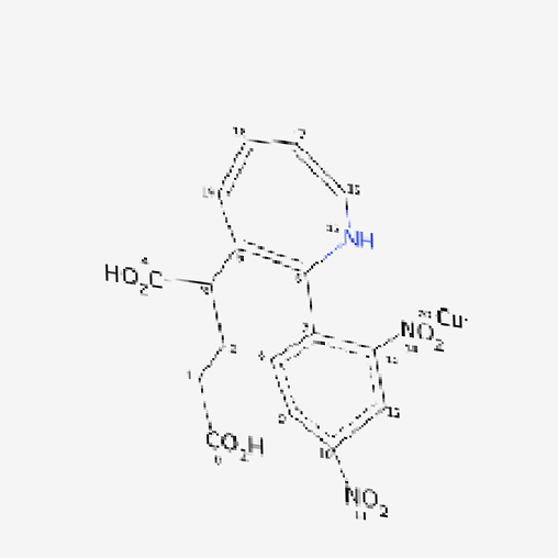 O=C(O)CCC(C(=O)O)C1=C(c2ccc([N+](=O)[O-])cc2[N+](=O)[O-])NC=CC=C1.[Cu]